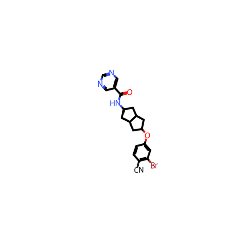 N#Cc1ccc(OC2CC3CC(NC(=O)c4cncnc4)CC3C2)cc1Br